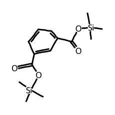 C[Si](C)(C)OC(=O)c1cccc(C(=O)O[Si](C)(C)C)c1